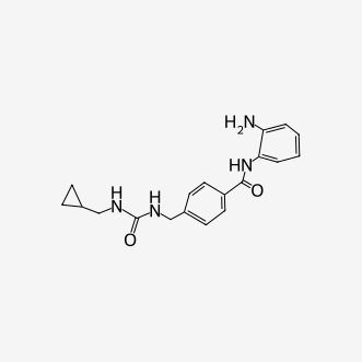 Nc1ccccc1NC(=O)c1ccc(CNC(=O)NCC2CC2)cc1